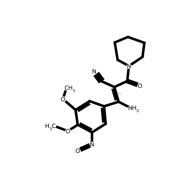 COc1cc(/C(N)=C(\C#N)C(=O)N2CCCCC2)cc(N=O)c1OC